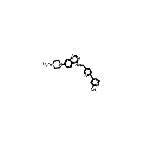 Cc1cc(-c2ccc(CNc3ncnc4cc(N5CCN(C)CC5)ccc34)cn2)ccn1